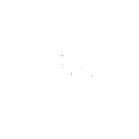 CC(C)(C)C(=NC1CCCCC1)C(=O)O